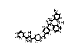 Brc1ccc2c(c1)-c1nnc(-c3ccc(CN4CCC(c5nnc(-c6ccccn6)[nH]5)CC4)cc3)n1-c1cccnc1N2